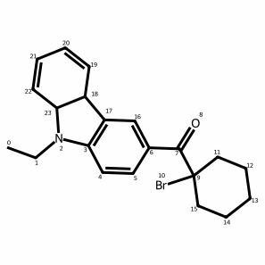 CCN1c2ccc(C(=O)C3(Br)CCCCC3)cc2C2C=CC=CC21